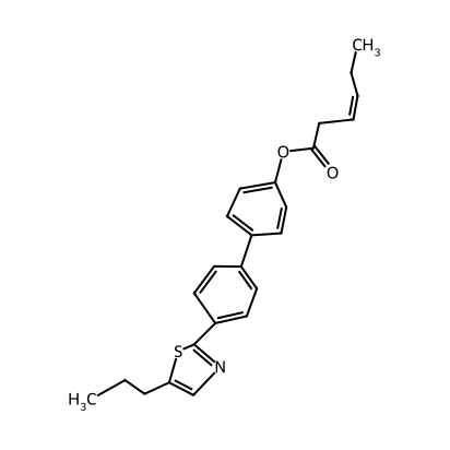 CC/C=C\CC(=O)Oc1ccc(-c2ccc(-c3ncc(CCC)s3)cc2)cc1